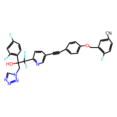 N#Cc1ccc(F)c(COc2ccc(C#Cc3ccc(C(F)(F)C(O)(Cn4cnnn4)c4ccc(F)cc4F)nc3)cc2)c1